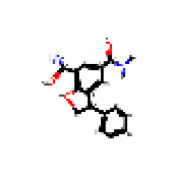 CN(C)C(=O)c1cc(C(N)=O)c2c(c1)C(c1ccccc1)CO2